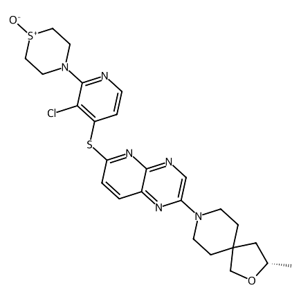 C[C@H]1CC2(CCN(c3cnc4nc(Sc5ccnc(N6CC[S+]([O-])CC6)c5Cl)ccc4n3)CC2)CO1